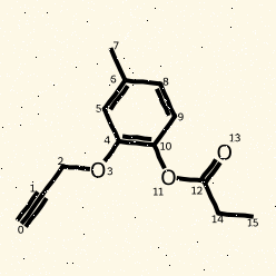 C#CCOc1cc(C)ccc1OC(=O)CC